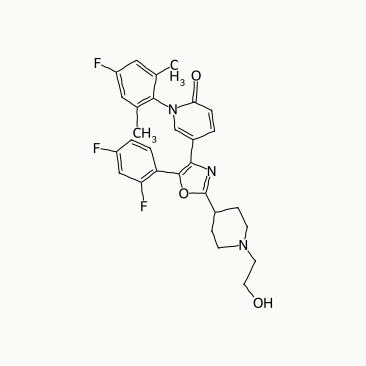 Cc1cc(F)cc(C)c1-n1cc(-c2nc(C3CCN(CCO)CC3)oc2-c2ccc(F)cc2F)ccc1=O